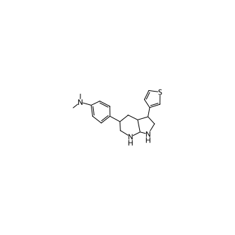 CN(C)c1ccc(C2CNC3NCC(c4ccsc4)C3C2)cc1